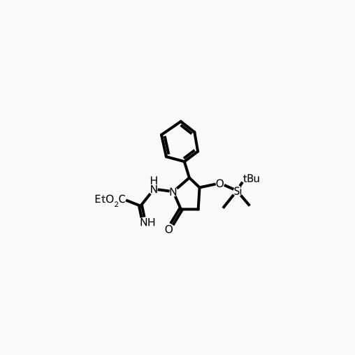 CCOC(=O)C(=N)NN1C(=O)CC(O[Si](C)(C)C(C)(C)C)C1c1ccccc1